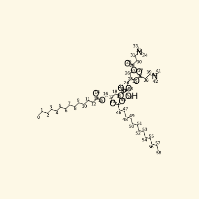 CCCCCCCCCCCCCC(=O)OC[C@H](COP(=O)(O)OCC(COC(=O)CCN(C)C)OC(=O)CCN(C)C)OC(=O)CCCCCCCCCCCCC